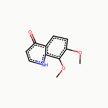 COc1ccc2c(=O)cc[nH]c2c1OC